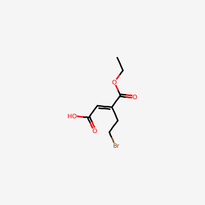 CCOC(=O)C(=CC(=O)O)CCBr